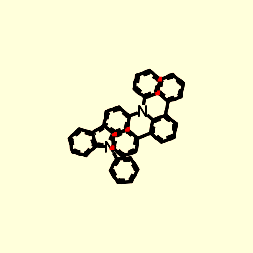 c1ccc(-c2cccc(-c3ccccc3)c2N(c2ccccc2)c2ccc3c4ccccc4n(-c4ccccc4)c3c2)cc1